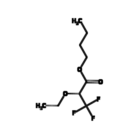 CCCCOC(=O)C(OCC)C(F)(F)F